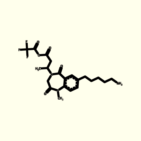 CC(CC(=O)OC(=O)C(F)(F)F)N1CC(=O)N(C)c2ccc(CCCCCN)cc2C1=O